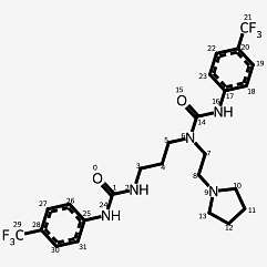 O=C(NCCCN(CCN1CCCC1)C(=O)Nc1ccc(C(F)(F)F)cc1)Nc1ccc(C(F)(F)F)cc1